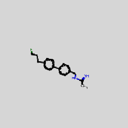 CC(=N)NCc1ccc(-c2ccc(CCCF)cc2)cc1